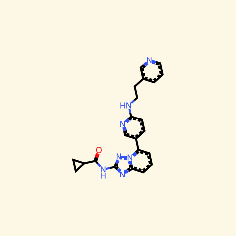 O=C(Nc1nc2cccc(-c3ccc(NCCc4cccnc4)nc3)n2n1)C1CC1